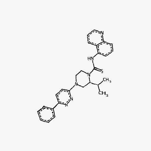 CC(C)C1CN(c2ccc(-c3ccccc3)nn2)CCN1C(=S)Nc1cccc2ncccc12